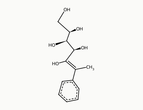 CC(=C(O)[C@H](O)[C@@H](O)[C@H](O)CO)c1ccccc1